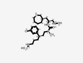 CN(CC[C@@H](CCCNC(=O)O)c1cccc(Cl)c1)C(=O)N[C@H](CNO)C[C@H]1CCCCOC1